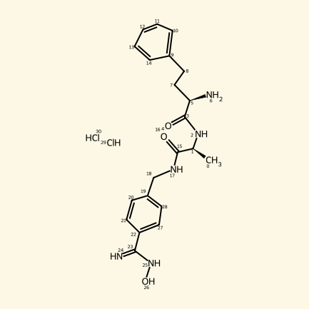 C[C@H](NC(=O)[C@H](N)CCc1ccccc1)C(=O)NCc1ccc(C(=N)NO)cc1.Cl.Cl